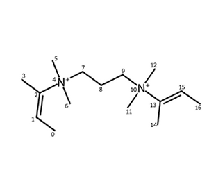 CC=C(C)[N+](C)(C)CCC[N+](C)(C)C(C)=CC